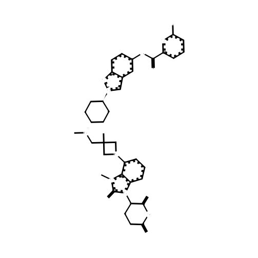 Cn1c(=O)n(C2CCC(=O)NC2=O)c2cccc(N3CC(F)(CN(C)[C@H]4CC[C@H](n5cc6cc(NC(=O)c7cccc(C(F)(F)F)n7)ccc6n5)CC4)C3)c21